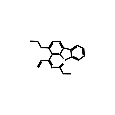 C=C/C(=N/C(=C)CC)c1c(CCC)ccc2c1oc1ccccc12